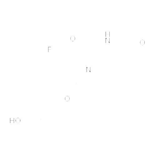 O=c1ccn([C@@H]2O[C@H]([CH]O)CC2F)c(=O)[nH]1